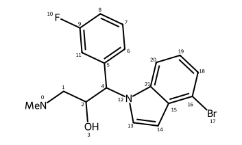 CNCC(O)C(c1cccc(F)c1)n1ccc2c(Br)cccc21